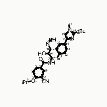 CC(C)Oc1ccc(C(=O)N[C@@H](Cc2ccc(-c3cn(C)c(C(C)(C)C)n3)cc2)C(O)CN=N)cc1C#N